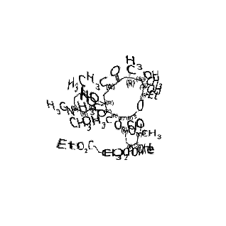 CCOC(=O)CCC(=O)O.CC[C@H]1OC(=O)[C@H](C)[C@@H](O[C@H]2C[C@@](C)(OC)[C@@H](O)[C@H](C)O2)[C@@H](C)[C@@H](O[C@@H]2O[C@H](C)C[C@H](N(C)C)[C@H]2O)[C@](C)(O)C[C@@H](C)C(=O)[C@H](C)[C@H](O)[C@]1(C)O